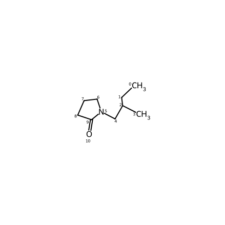 CCC(C)CN1CCCC1=O